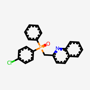 O=P(Cc1ccc2ccccc2n1)(c1ccccc1)c1ccc(Cl)cc1